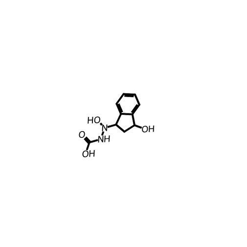 O=C(O)NN(O)C1CC(O)c2ccccc21